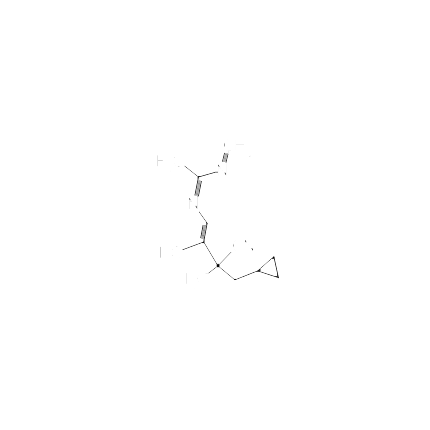 C=N/C(=N\C=C(/C)C(C)(C#N)CC1CC1)C(F)(F)F